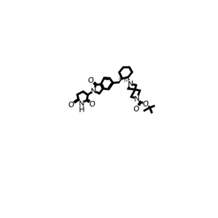 CC(C)(C)OC(=O)N1CC2(C1)CN([C@H]1CCCC[C@@H]1Cc1ccc3c(c1)CN(C1CCC(=O)NC1=O)C3=O)C2